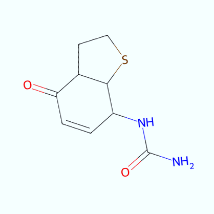 NC(=O)NC1C=CC(=O)C2CCSC12